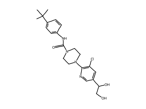 CC(C)(C)c1ccc(NC(=O)N2CCN(c3ncc(C(O)CO)cc3Cl)CC2)cc1